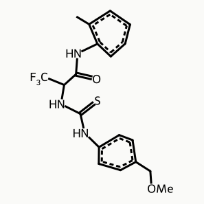 COCc1ccc(NC(=S)NC(C(=O)Nc2ccccc2C)C(F)(F)F)cc1